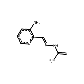 C=C(N)N/N=C/c1ncccc1N